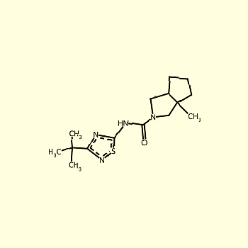 CC(C)(C)c1nsc(NC(=O)N2CC3CCCC3(C)C2)n1